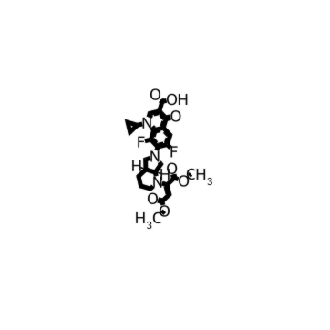 COC(=O)/C=C(/C(=O)OC)N1CCC[C@H]2CN(c3c(F)cc4c(=O)c(C(=O)O)cn(C5CC5)c4c3F)C[C@H]21